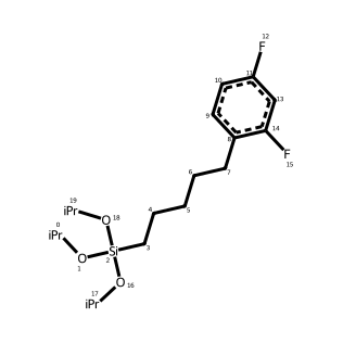 CC(C)O[Si](CCCCCc1ccc(F)cc1F)(OC(C)C)OC(C)C